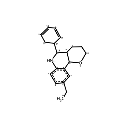 CCc1ccc2c(c1)C1OCCCC1C(C1C=CC=CC1)N2